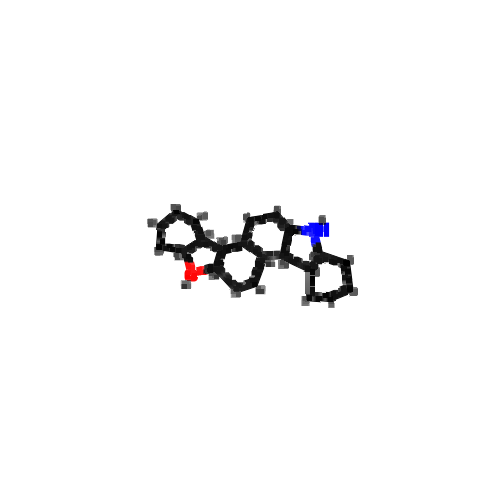 c1ccc2c(c1)[nH]c1ccc3c(ccc4oc5ccccc5c43)c12